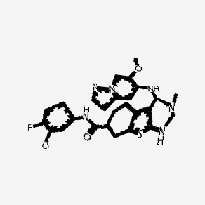 COc1cn2nccc2cc1NC1c2c(sc3c2CCC(C(=O)Nc2ccc(F)c(Cl)c2)C3)NCN1C